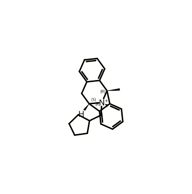 C[C@@]12c3ccccc3C[C@@H](c3ccccc31)[N@@+]2(C)CC1CCCC1